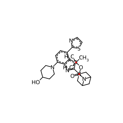 CC(C)(C)OC(=O)N1C2CC1CN(c1nc3c(N4CCC(O)CC4)ccc(-c4nccs4)c3o1)C2